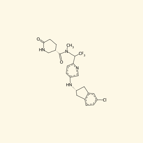 CN(C(=O)[C@H]1CCC(=O)NC1)C(c1ccc(N[C@H]2Cc3ccc(Cl)cc3C2)cn1)C(F)(F)F